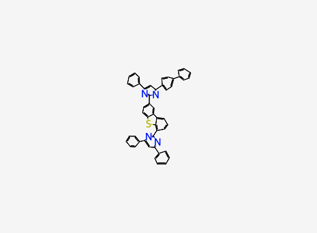 c1ccc(-c2ccc(-c3cc(-c4ccccc4)nc(-c4ccc5sc6c(-c7nc(-c8ccccc8)cc(-c8ccccc8)n7)cccc6c5c4)n3)cc2)cc1